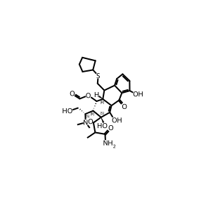 CC(C(N)=O)C(=O)[C@@]1(O)C(O)=C2C(=O)c3c(O)cccc3C(CSC3CCCC3)[C@H]2C(OC=O)[C@H]1[C@@H](CO)N(C)C